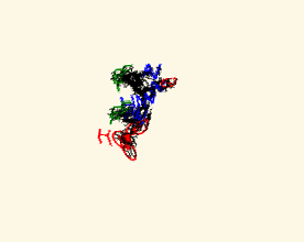 CC[C@@H]1C[C@H](Nc2ncc(N3CCOCC3)cc2Cc2cc(C#N)cc(C(F)(F)F)c2)c2nc(C(F)(F)F)ccc2N1C(=O)OCC(C)(C)C(=O)O